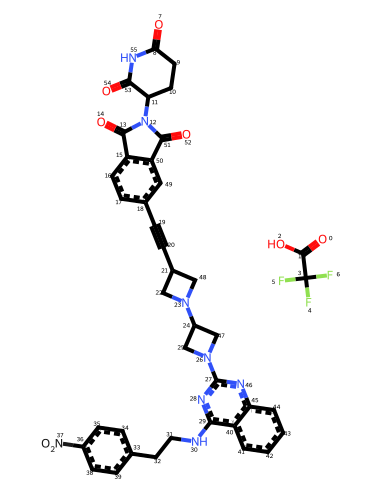 O=C(O)C(F)(F)F.O=C1CCC(N2C(=O)c3ccc(C#CC4CN(C5CN(c6nc(NCCc7ccc([N+](=O)[O-])cc7)c7ccccc7n6)C5)C4)cc3C2=O)C(=O)N1